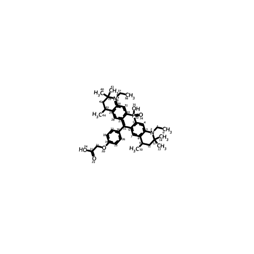 CCN1c2cc3c(cc2C(C)CC1(C)C)C(c1ccc(OCC(=O)O)cc1)=c1cc2c(cc1P3(=O)O)=[N+](CC)C(C)(C)CC2C